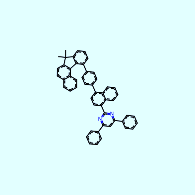 CC1(C)c2cccc(-c3ccc(-c4ccc(-c5nc(-c6ccccc6)cc(-c6ccccc6)n5)c5ccccc45)cc3)c2-c2c1ccc1ccccc21